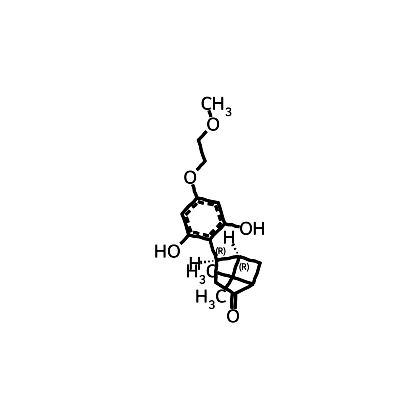 COCCOc1cc(O)c([C@@H]2CC(=O)C3C[C@H]2C3(C)C)c(O)c1